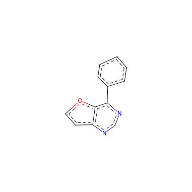 c1ccc(-c2ncnc3ccoc23)cc1